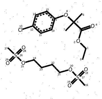 CCOC(=O)C(C)(C)Oc1ccc(Cl)cc1.CS(=O)(=O)OCCCCOS(C)(=O)=O